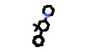 CC1(C)CC(N2CCCCC2)CC[C]1c1ccccc1